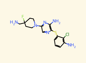 NCC1(F)CCN(c2cnc(Sc3cccc(N)c3Cl)c(N)n2)CC1